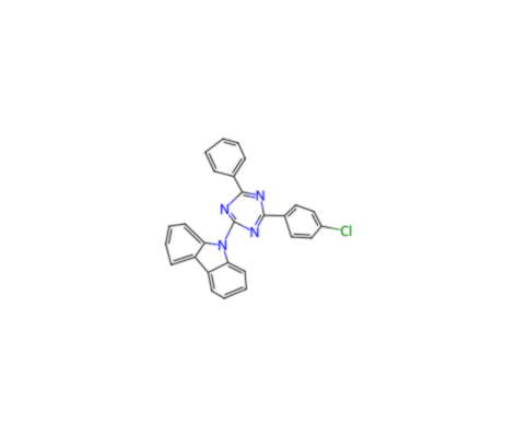 Clc1ccc(-c2nc(-c3ccccc3)nc(-n3c4ccccc4c4ccccc43)n2)cc1